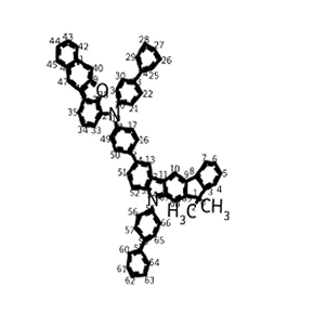 CC1(C)c2ccccc2-c2cc3c4cc(-c5ccc(N(c6ccc(-c7ccccc7)cc6)c6cccc7c6oc6cc8ccccc8cc67)cc5)ccc4n(-c4ccc(-c5ccccc5)cc4)c3cc21